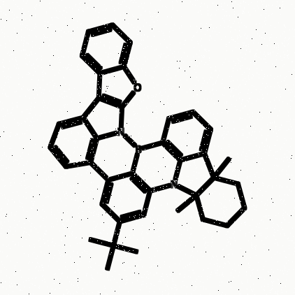 CC(C)(C)c1cc2c3c(c1)N1c4c(cccc4C4(C)CCCCC14C)B3n1c3oc4ccccc4c3c3cccc-2c31